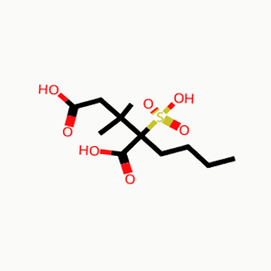 CCCCC(C(=O)O)(C(C)(C)CC(=O)O)S(=O)(=O)O